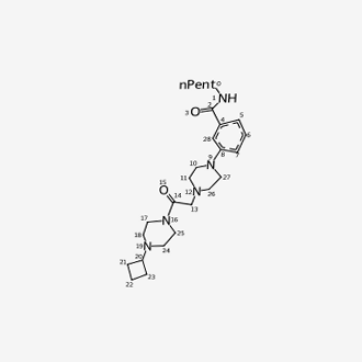 CCCCCNC(=O)c1cccc(N2CCN(CC(=O)N3CCN(C4CCC4)CC3)CC2)c1